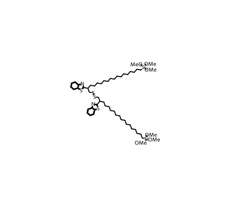 CO[Si](CCCCCCCCCCCCCCCCC(CSSCC(CCCCCCCCCCCCCCCC[Si](OC)(OC)OC)c1nc2ccccc2s1)c1nc2ccccc2s1)(OC)OC